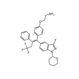 NCCOc1ccc(/C(=C(/CC(F)(F)F)c2ccccc2)c2ccc3c(c2)c(F)nn3C2CCCCO2)cc1